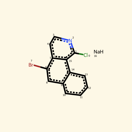 Clc1nccc2c(Br)cc3ccccc3c12.[NaH]